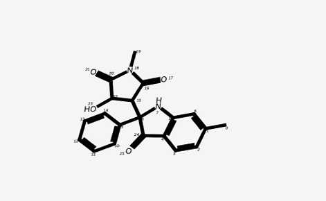 Cc1ccc2c(c1)NC(c1ccccc1)(C1C(=O)N(C)C(=O)C1O)C2=O